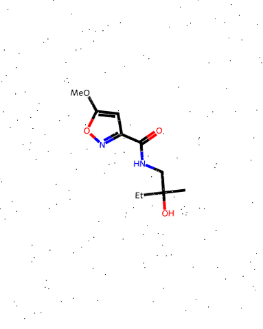 CCC(C)(O)CNC(=O)c1cc(OC)on1